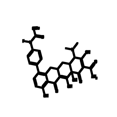 COC(=O)N(F)c1ccc(-c2ccc(O)c3c2CC2CC4C(N(C)C)C(O)=C(C(N)=O)C(=O)C4(O)C(O)=C2C3=O)cc1